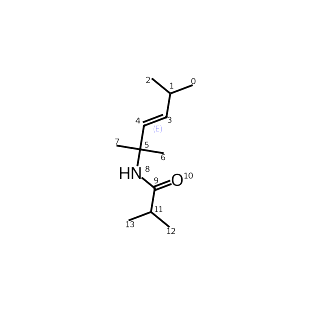 CC(C)/C=C/C(C)(C)NC(=O)C(C)C